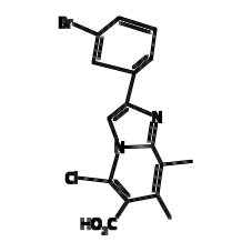 Cc1c(C(=O)O)c(Cl)n2cc(-c3cccc(Br)c3)nc2c1C